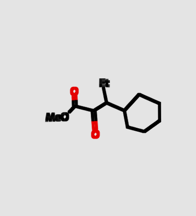 CCC(C(=O)C(=O)OC)C1CCCCC1